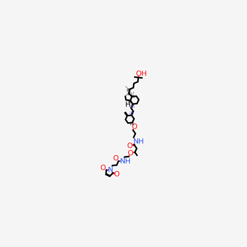 C=C1CC[C@H](OCCCNC(=O)CC(C)OCCNC(=O)CCN2C(=O)C=CC2=O)C/C1=C/C=C1\CCC[C@]2(C)[C@@H]([C@H](C)CCCC(C)(C)O)CC[C@@H]12